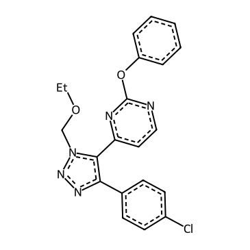 CCOCn1nnc(-c2ccc(Cl)cc2)c1-c1ccnc(Oc2ccccc2)n1